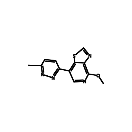 COc1ncc(-c2ccc(C)nn2)c2scnc12